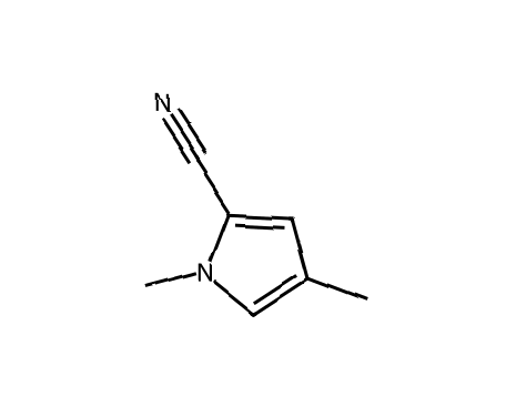 Cc1cc(C#N)n(C)c1